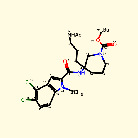 CC(=O)NCCCC1(NC(=O)c2cc3c(Cl)c(Cl)ccc3n2C)CCCN(C(=O)OC(C)(C)C)C1